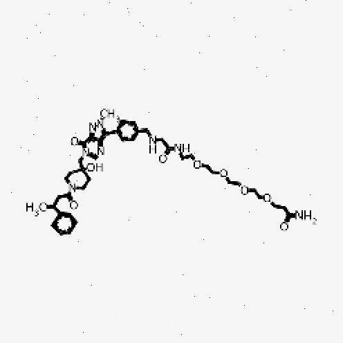 CC(CC(=O)N1CCC(O)(Cn2cnc3c(-c4ccc(CNCC(=O)NCCOCCOCCOCCOCCC(N)=O)cc4)n(C)nc3c2=O)CC1)c1ccccc1